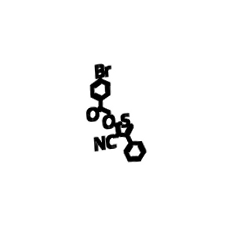 N#Cc1c(-c2ccccc2)csc1OCC(=O)c1ccc(Br)cc1